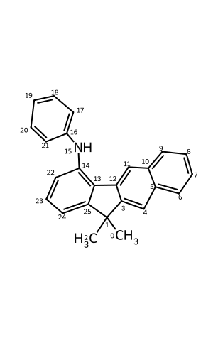 CC1(C)c2cc3ccccc3cc2-c2c(Nc3ccccc3)cccc21